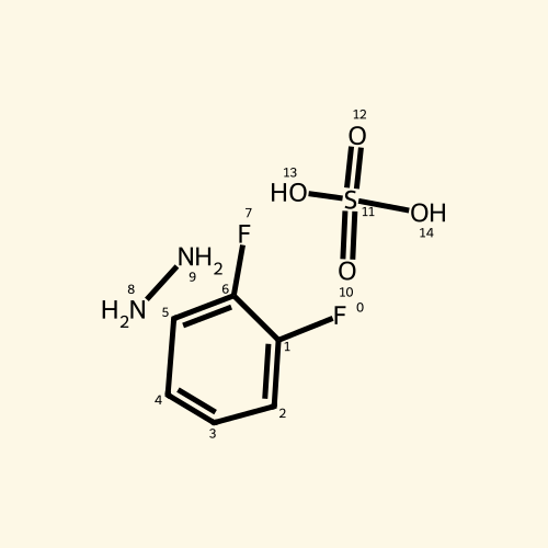 Fc1ccccc1F.NN.O=S(=O)(O)O